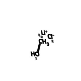 CO.[Cl-].[Li+]